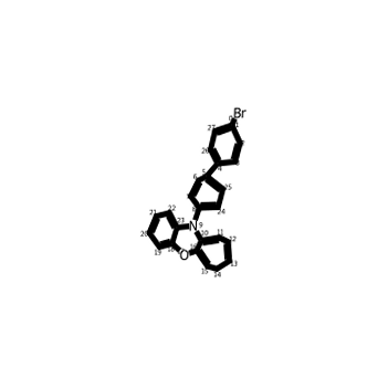 Brc1ccc(-c2ccc(N3C4=CC=CCC=C4Oc4ccccc43)cc2)cc1